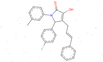 Cc1cccc(N2C(=O)C(O)=C(C/C=C/c3ccccc3)C2c2ccc(F)cc2)c1